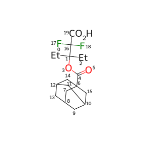 CCC(CC)(OC(=O)C12CC3CC(CC(C3)C1)C2)C(F)(F)C(=O)O